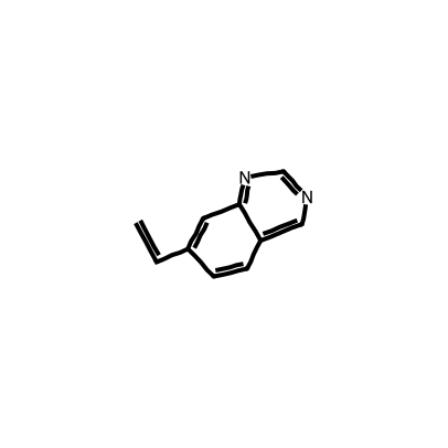 C=Cc1ccc2cncnc2c1